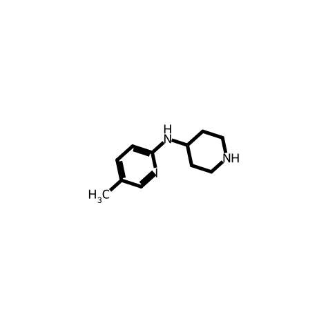 CC1=CC=C(NC2CCNCC2)I=C1